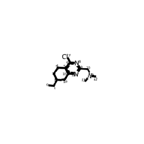 CCC1CCc2c(Cl)nc(CN(C)C)nc2C1